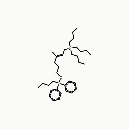 CCCC[Si](OCCCC(C)=C[CH2][Sn]([CH2]CCC)([CH2]CCC)[CH2]CCC)(c1ccccc1)c1ccccc1